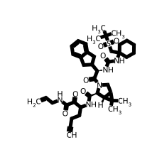 C#CCCC(NC(=O)[C@@H]1[C@@H]2C(CN1C(=O)[C@@H](NC(=O)NC1(CS(=O)(=O)C(C)(C)C)CCCCC1)C1Cc3ccccc3C1)C2(C)C)C(=O)C(=O)NCC=C